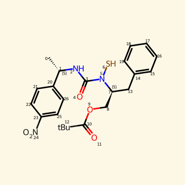 C[C@H](NC(=O)N(S)[C@H](COC(=O)C(C)(C)C)Cc1ccccc1)c1ccc([N+](=O)[O-])cc1